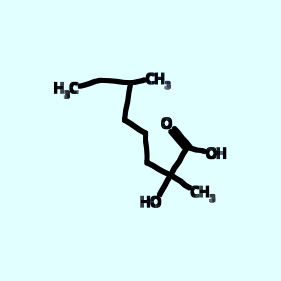 CCC(C)CCCC(C)(O)C(=O)O